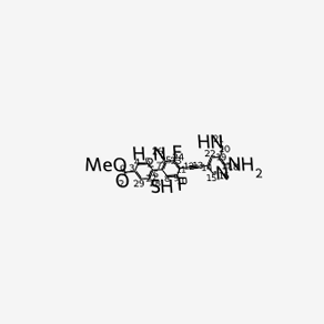 COC(=O)c1ccc(-c2cc(F)c(C#Cc3cnc(N)c(C=N)c3)c(F)c2N)c(S)c1